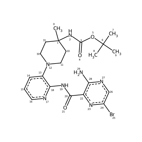 CC1(NC(=O)OC(C)(C)C)CCN(c2cccnc2NC(=O)c2nc(Br)cnc2N)CC1